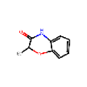 CC[C]1Oc2ccccc2NC1=O